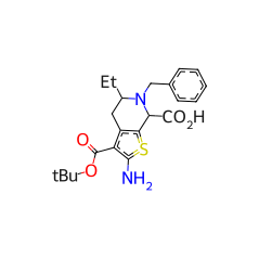 CCC1Cc2c(sc(N)c2C(=O)OC(C)(C)C)C(C(=O)O)N1Cc1ccccc1